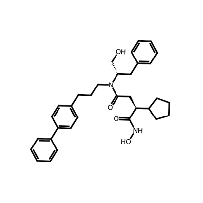 O=C(NO)[C@@H](CC(=O)N(CCCc1ccc(-c2ccccc2)cc1)[C@H](CO)Cc1ccccc1)C1CCCC1